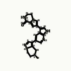 CN1CCn2ncc(-c3cnc4[nH]cc(-c5cc6n(c5)CCNC6=O)c4c3)c2C1